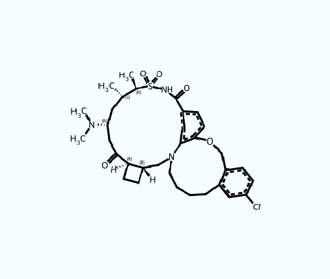 C[C@@H]1[C@@H](C)C[C@@H](N(C)C)CC(=O)[C@@H]2CC[C@H]2CN2CCCCc3cc(Cl)ccc3COc3ccc(cc32)C(=O)NS1(=O)=O